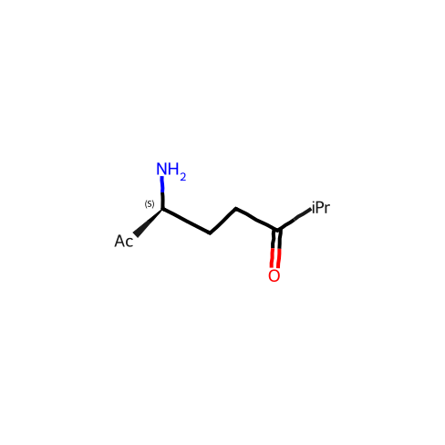 CC(=O)[C@@H](N)CCC(=O)C(C)C